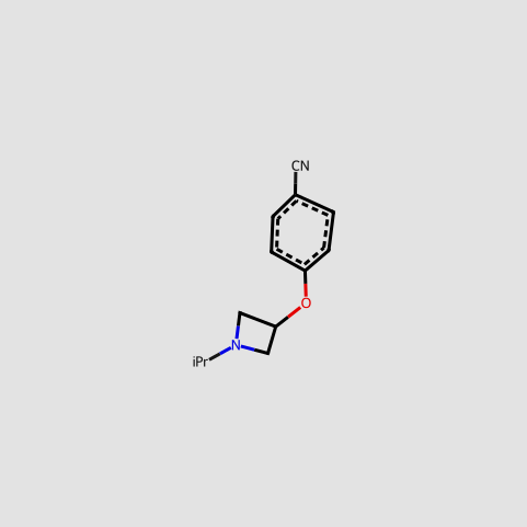 CC(C)N1CC(Oc2ccc(C#N)cc2)C1